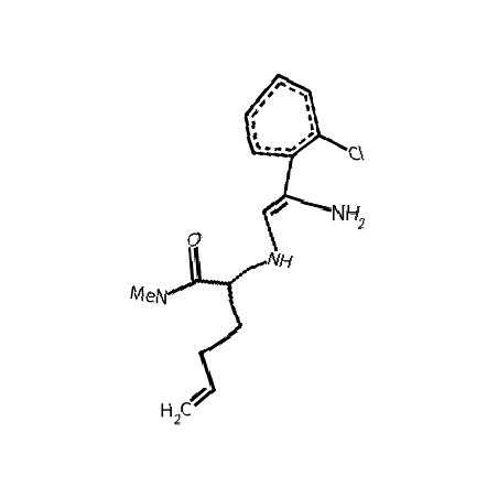 C=CCCC(N/C=C(\N)c1ccccc1Cl)C(=O)NC